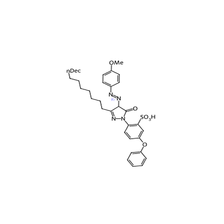 CCCCCCCCCCCCCCCCCC1=NN(c2ccc(Oc3ccccc3)cc2S(=O)(=O)O)C(=O)C1/N=N/c1ccc(OC)cc1